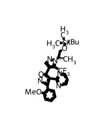 COc1ccccc1-c1noc(-c2cnn([C@H](C)CO[Si](C)(C)C(C)(C)C)c2C(F)(F)F)c1-c1ncccn1